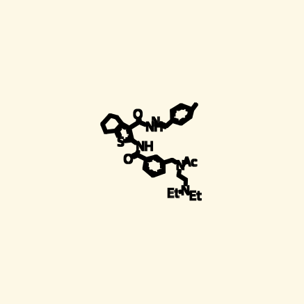 CCN(CC)CCN(Cc1cccc(C(=O)Nc2sc3c(c2C(=O)N/N=C/c2ccc(C)cc2)CCCC3)c1)C(C)=O